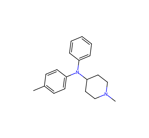 Cc1ccc(N(c2ccccc2)C2CCN(C)CC2)cc1